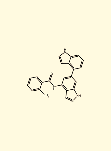 Cc1ccccc1C(=O)Nc1cc(-c2cccc3[nH]ccc23)cc2[nH]ncc12